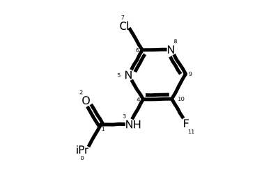 CC(C)C(=O)Nc1nc(Cl)ncc1F